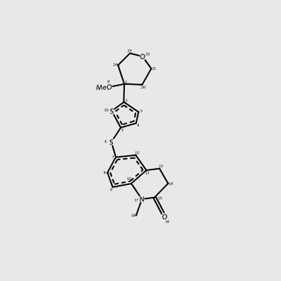 COC1(c2ccc(Sc3ccc4c(c3)CCC(=O)N4C)s2)CCOCC1